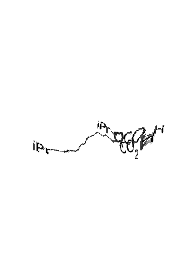 CC(C)CCCCCCCCCCCCc1c(C(C)C)ccc(C(=O)O)c1C(=O)O